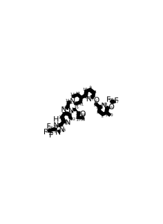 Cc1ccc(COc2cccc(C3CCN(Cc4nc5cc(-c6nnc(C(F)(F)F)[nH]6)ncc5n4C[C@@H]4CCO4)CC3)n2)nc1OC(F)F